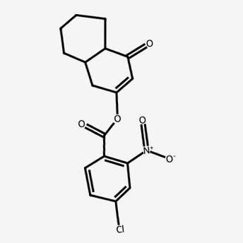 O=C(OC1=CC(=O)C2CCCCC2C1)c1ccc(Cl)cc1[N+](=O)[O-]